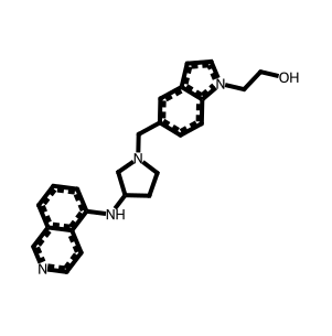 OCCn1ccc2cc(CN3CCC(Nc4cccc5cnccc45)C3)ccc21